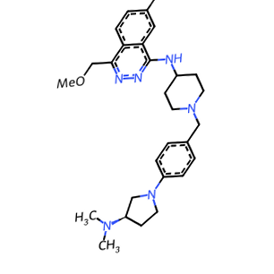 COCc1nnc(NC2CCN(Cc3ccc(N4CC[C@@H](N(C)C)C4)cc3)CC2)c2cc(OC)ccc12